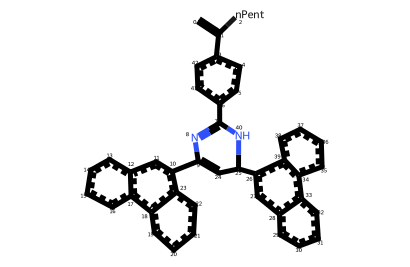 C=C(CCCCC)c1ccc(C2=NC(c3cc4ccccc4c4ccccc34)=CC(c3cc4ccccc4c4ccccc34)N2)cc1